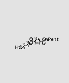 CCCCCOC(=O)c1ccc(C(=O)OCCCCO)cc1